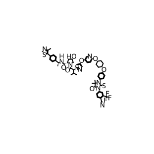 Cc1ncsc1-c1ccc([C@H](C)NC(=O)[C@@H]2C[C@@H](O)CN2C(=O)C(C(C)C)n2cc(Oc3ccc(OC4CCC(Oc5ccc(N6C(=S)N(c7ccc(C#N)c(C(F)(F)F)c7)C(=O)C6(C)C)cc5)CC4)nc3)cn2)cc1